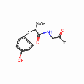 CCC(=O)CNC(=O)[C@H](Cc1ccc(O)cc1)NC